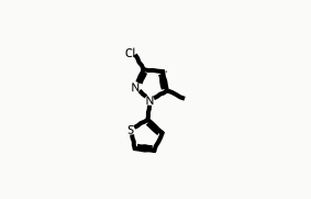 Cc1[c]c(Cl)nn1-c1cccs1